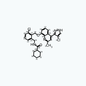 Cc1cc(-c2n[nH]cc2Cl)c2cccc(OCc3c(Cl)cncc3CNC(=O)C3CCCCC3)c2n1